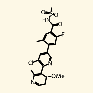 CO[C@H]1CC=NC(C)=C1c1ncc(-c2cc(F)c(C(=O)NS(C)(=O)=O)cc2C)cc1Cl